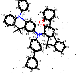 CC1(C)c2ccccc2N(c2ccccc2)c2ccc(N(c3ccc(-c4ccccc4)cc3)c3c4c(cc5c3oc3ccccc35)-c3ccccc3C4(C)C)cc21